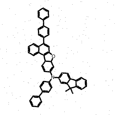 CC1(C)c2ccccc2-c2ccc(N(C3=CC4Oc5cc(-c6ccc(-c7ccccc7)cc6)c6ccccc6c5C4C=C3)c3ccc(-c4ccccc4)cc3)cc21